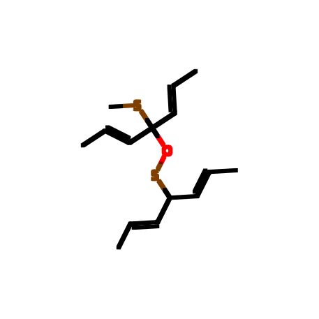 CC=CC(C=CC)SOC(C=CC)(C=CC)SC